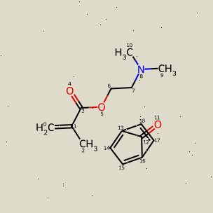 C=C(C)C(=O)OCCN(C)C.O=C1C2=CC=C1C=C2